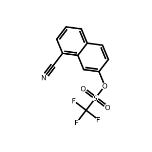 N#Cc1cccc2ccc(OS(=O)(=O)C(F)(F)F)cc12